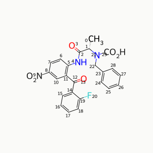 C[C@@H](C(=O)Nc1ccc([N+](=O)[O-])cc1C(=O)c1ccccc1F)N(Cc1ccccc1)C(=O)O